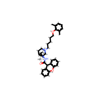 Cc1cccc(C)c1OCCCCC[N+]12CCC(CC1)[C@H](NC(=O)C1c3ccccc3Oc3ccccc31)C2